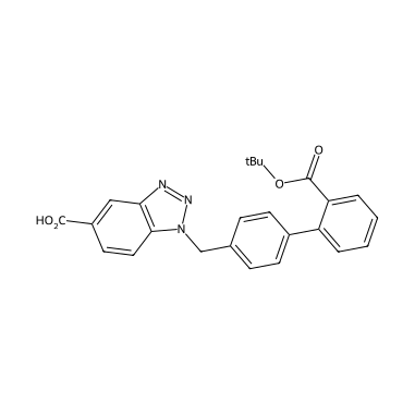 CC(C)(C)OC(=O)c1ccccc1-c1ccc(Cn2nnc3cc(C(=O)O)ccc32)cc1